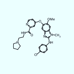 COc1cc2c(cc1Oc1ccnc(C(=O)NCCN3CCCC3)c1)nc(Nc1ccc(Cl)cc1)n2C